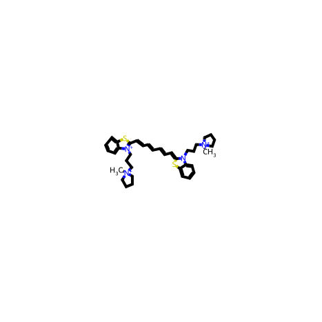 C[N+]1(CCCN2/C(=C/C=C/C=C/C=C/c3sc4ccccc4[n+]3CCC[N+]3(C)CCCC3)Sc3ccccc32)CCCC1